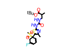 Cc1nc(NC(=O)NCC(C)C(=O)OC(C)(C)C)sc1C1(S(C)(=O)=O)C=CC=C(F)C1